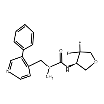 CN(Cc1ccncc1-c1ccccc1)C(=O)N[C@@H]1COCC1(F)F